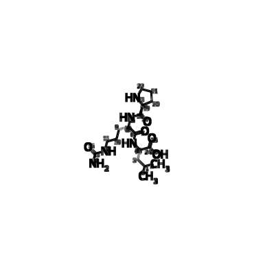 CC(C)C[C@H](NC(=O)[C@H](CCCNC(N)=O)NC(=O)[C@@H]1CCCN1)C(=O)O